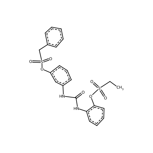 CCS(=O)(=O)Oc1ccccc1NC(=O)Nc1cccc(OS(=O)(=O)Cc2ccccc2)c1